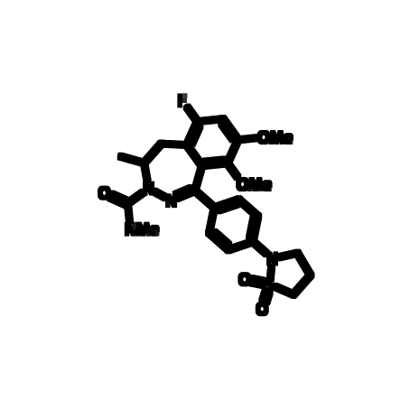 CNC(=O)N1N=C(c2ccc(N3CCCS3(=O)=O)cc2)c2c(c(F)cc(OC)c2OC)CC1C